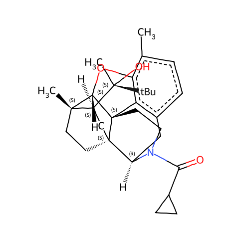 Cc1ccc2c3c1O[C@H]1[C@@]4(C)CC[C@@]5(C[C@@H]4[C@](C)(O)C(C)(C)C)[C@@H](C2)N(C(=O)C2CC2)CC[C@]315